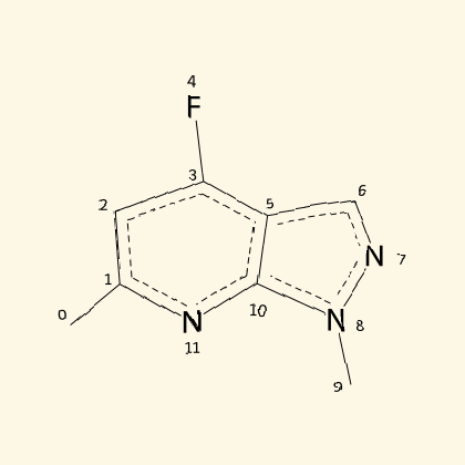 Cc1cc(F)c2cnn(C)c2n1